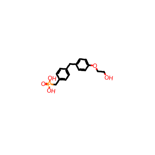 O=P(O)(O)Cc1ccc(Cc2ccc(OCCO)cc2)cc1